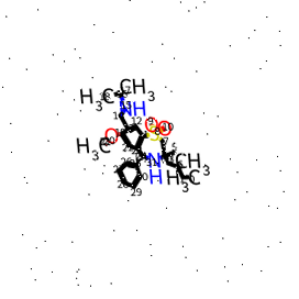 CCCC[C@]1(CC)CS(=O)(=O)c2cc(CNC(C)C)c(OC)cc2[C@H](c2ccccc2)N1